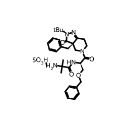 CC(C)(N)C(=O)N[C@H](COCc1ccccc1)C(=O)N1CCC2=NN(C(C)(C)C)C(=O)[C@@]2(Cc2ccccc2)C1.CS(=O)(=O)O